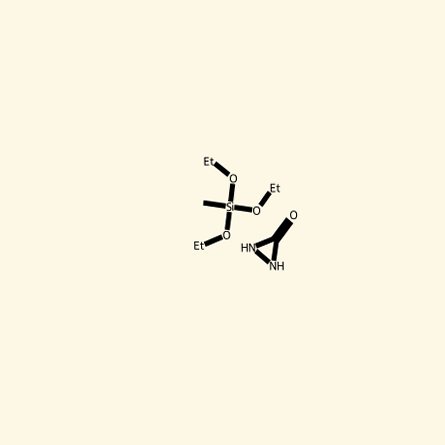 CCO[Si](C)(OCC)OCC.O=C1NN1